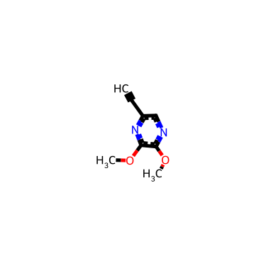 C#Cc1cnc(OC)c(OC)n1